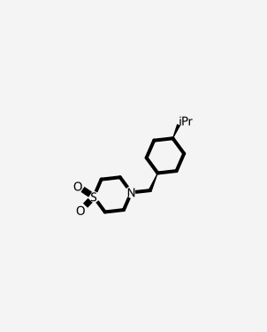 CC(C)[C@H]1CC[C@@H](CN2CCS(=O)(=O)CC2)CC1